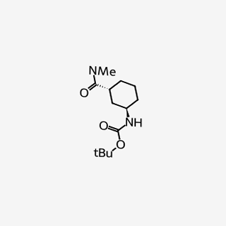 CNC(=O)[C@@H]1CCC[C@@H](NC(=O)OC(C)(C)C)C1